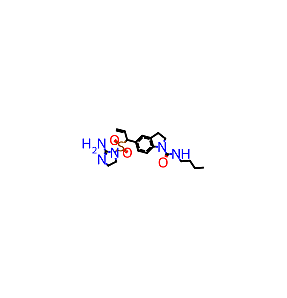 C=CC(c1ccc2c(c1)CCN2C(=O)NCCCC)S(=O)(=O)N1CCN=C1N